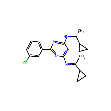 C/C(=N\c1nc(N[C@H](C)C2CC2)nc(-c2cccc(Cl)c2)n1)C1CC1